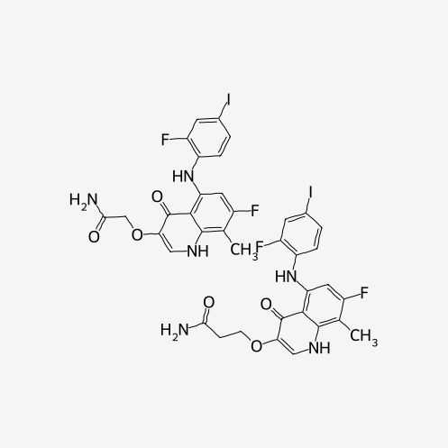 Cc1c(F)cc(Nc2ccc(I)cc2F)c2c(=O)c(OCC(N)=O)c[nH]c12.Cc1c(F)cc(Nc2ccc(I)cc2F)c2c(=O)c(OCCC(N)=O)c[nH]c12